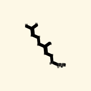 CCOC(=O)OC/C=C(\C)CCC=C(C)C